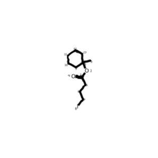 CC1(OC(=O)CCCI)CCCCC1